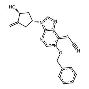 C=C1C[C@@H](n2cnc3c(=NC#N)n(OCc4ccccc4)cnc32)C[C@@H]1O